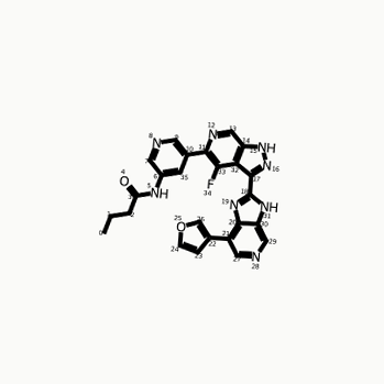 CCCC(=O)Nc1cncc(-c2ncc3[nH]nc(-c4nc5c(-c6ccoc6)cncc5[nH]4)c3c2F)c1